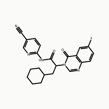 N#Cc1ccc(NC(=O)C(CC2CCCCC2)n2cnc3ccc(F)cc3c2=O)nc1